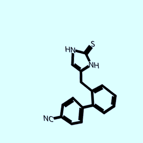 N#Cc1ccc(-c2ccccc2Cc2c[nH]c(=S)[nH]2)cc1